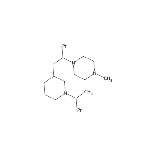 CC(C)C(C)N1CCCC(CC(C(C)C)N2CCN(C)CC2)C1